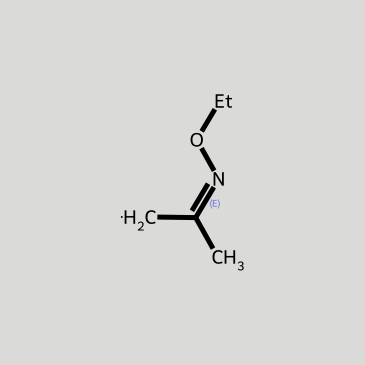 [CH2]/C(C)=N\OCC